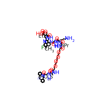 CC[C@@]1(O)C(=O)OCc2c1cc1n(c2=O)Cc2c-1nc1cc(F)c(C)c3c1c2[C@@H](NC(=O)CNC(=O)[C@H](CCCCN)NC(=O)[C@@H](NC(=O)CCOCCOCCOCCOCCC(=O)NC(CS(=O)(=O)O)C(=O)NCCC(=O)N1Cc2ccccc2/C=C\c2ccccc21)C(C)C)CC3